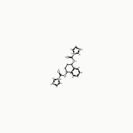 O=C(OC1CCC(OC(=O)n2ccnc2)c2ccccc21)n1ccnc1